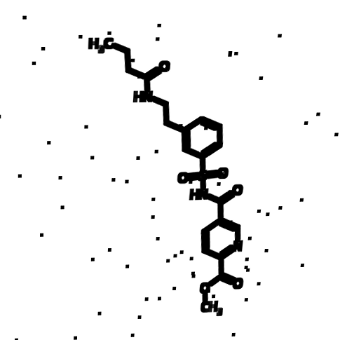 CCCC(=O)NCCc1cccc(S(=O)(=O)NC(=O)c2ccc(C(=O)OC)nc2)c1